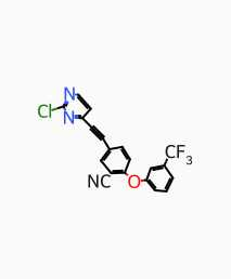 N#Cc1cc(C#Cc2ccnc(Cl)n2)ccc1Oc1cccc(C(F)(F)F)c1